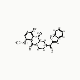 CNc1ccc(Br)cc1C(=O)N1CCN(C(=O)c2cc3ccccc3o2)CC1C=O